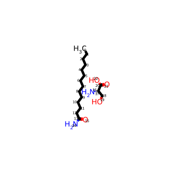 CCCCCCCCCCCCCC(N)=O.N[C@@H](CO)C(=O)O